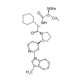 CN[C@@H](C)C(=O)N[C@H](C(=O)N1CCC[C@H]1c1ccnc(-n2cc(C)c3ccccc32)c1)C1CCCCC1